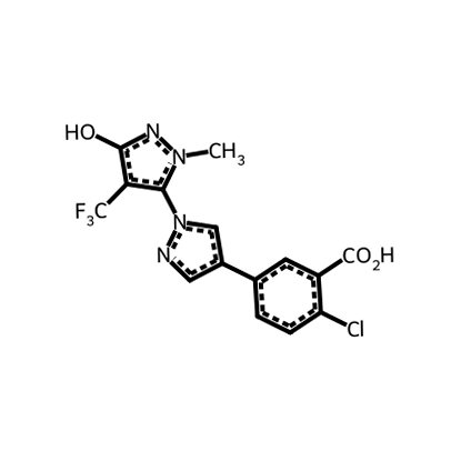 Cn1nc(O)c(C(F)(F)F)c1-n1cc(-c2ccc(Cl)c(C(=O)O)c2)cn1